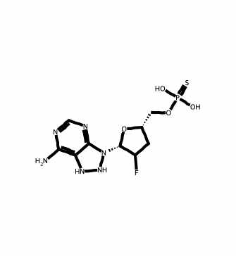 Nc1ncnc2c1NNN2[C@@H]1O[C@H](COP(O)(O)=S)CC1F